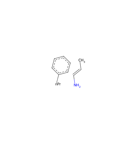 CC=CN.CCCc1ccccc1